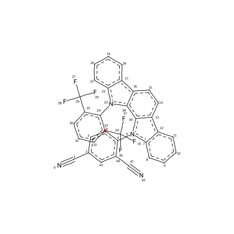 N#Cc1ccc(-n2c3ccccc3c3ccc4c5ccccc5n(-c5c(C(F)(F)F)cccc5C(F)(F)F)c4c32)c(C#N)c1